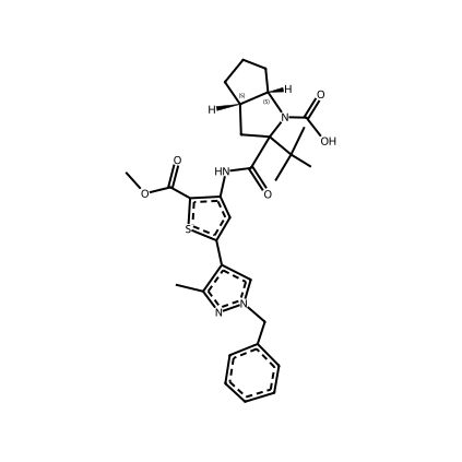 COC(=O)c1sc(-c2cn(Cc3ccccc3)nc2C)cc1NC(=O)C1(C(C)(C)C)C[C@@H]2CCC[C@@H]2N1C(=O)O